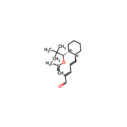 C[SiH](C)OC([C@@H]1CCCC[C@H]1C=CC=CC=O)C(C)(C)C